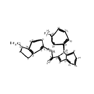 CN1CCc2cc(NC(=O)c3cc4ccccc4n3-c3cccc(C(F)(F)F)c3)ccc21